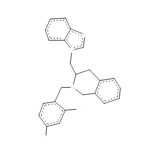 Clc1ccc(CN2Cc3ccccc3CC2Cn2cnc3ccccc32)c(Cl)c1